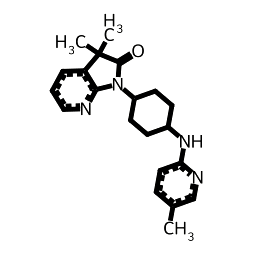 Cc1ccc(NC2CCC(N3C(=O)C(C)(C)c4cccnc43)CC2)nc1